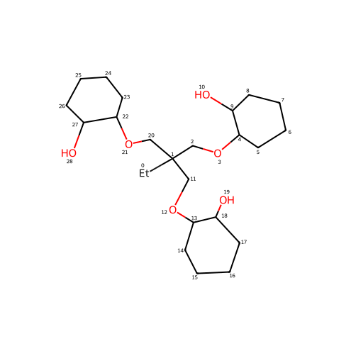 CCC(COC1CCCCC1O)(COC1CCCCC1O)COC1CCCCC1O